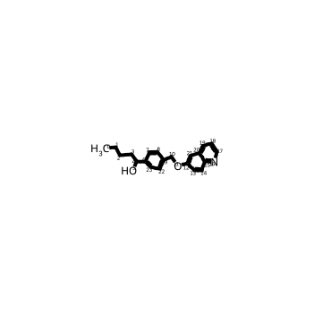 CCCCC(O)c1ccc(COc2ccc3ncccc3c2)cc1